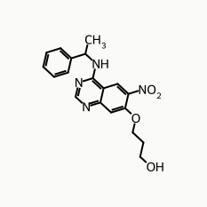 CC(Nc1ncnc2cc(OCCCO)c([N+](=O)[O-])cc12)c1ccccc1